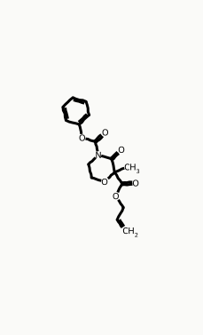 C=CCOC(=O)C1(C)OCCN(C(=O)Oc2ccccc2)C1=O